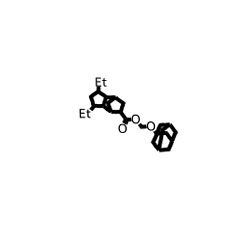 CCC1CC(CC)C2C3CC(CC3C(=O)OCOC34CC5CC(CC(C5)C3)C4)C12